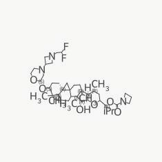 CC(C)[C@@H](OC(=O)N1CCC1)C1C[C@@H](C)[C@H]2C(O1)[C@H](O)[C@@]1(C)C3CC[C@H]4C(C)(C)[C@@H](O[C@H]5CN(C6CN(CC(F)F)C6)CCO5)CC[C@@]45CC35CC[C@]21C